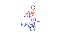 C#C[C@H]1C[C@@H](COP(=O)(N[C@H](C)C(=O)OC(C)C)Oc2ccccc2)O[C@H]1n1cnc2c(NC)nc(N)nc21